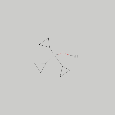 [SiH2]O[Si](C1CC1)(C1CC1)C1CC1